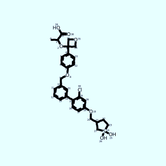 CC(OC1(c2ccc(OCc3cccc(-c4ccc(OCC5CCS(O)(O)C5)cc4Cl)c3)cc2)COC1)C(=O)O